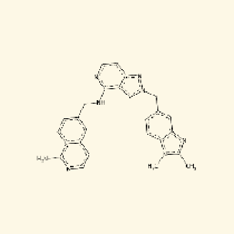 Cc1nc2cc(Cn3cc4c(NCc5ccc6c(N)nccc6c5)nccc4n3)ccc2n1C